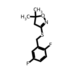 CC1(C)CC(SCc2cc(F)ccc2F)=NO1